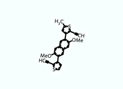 C#Cc1sccc1-c1cc2cc(OC)c(-c3cc(C)sc3C#C)cc2cc1OC